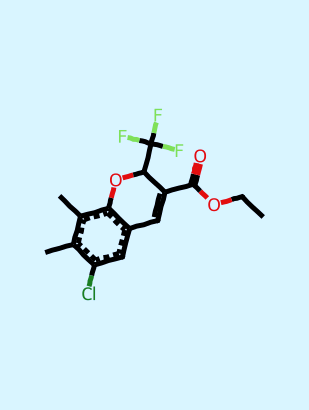 CCOC(=O)C1=Cc2cc(Cl)c(C)c(C)c2OC1C(F)(F)F